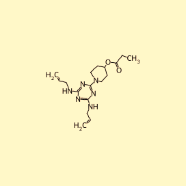 C=CCNc1nc(NCC=C)nc(N2CCC(OC(=O)CC)CC2)n1